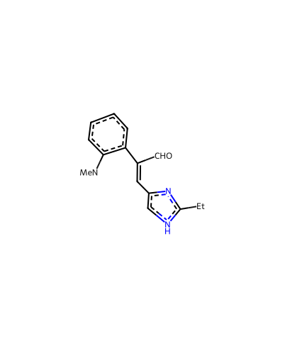 CCc1nc(/C=C(\C=O)c2ccccc2NC)c[nH]1